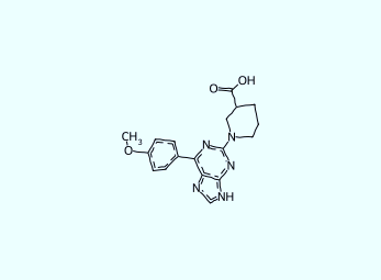 COc1ccc(-c2nc(N3CCCC(C(=O)O)C3)nc3[nH]cnc23)cc1